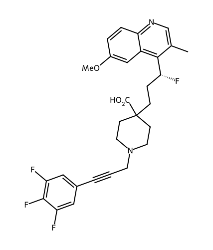 COc1ccc2ncc(C)c([C@H](F)CCC3(C(=O)O)CCN(CC#Cc4cc(F)c(F)c(F)c4)CC3)c2c1